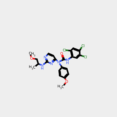 COCC(C)Nc1nccc(N(C(=O)Nc2cc(Cl)c(Cl)cc2Cl)c2ccc(OC)cc2)n1